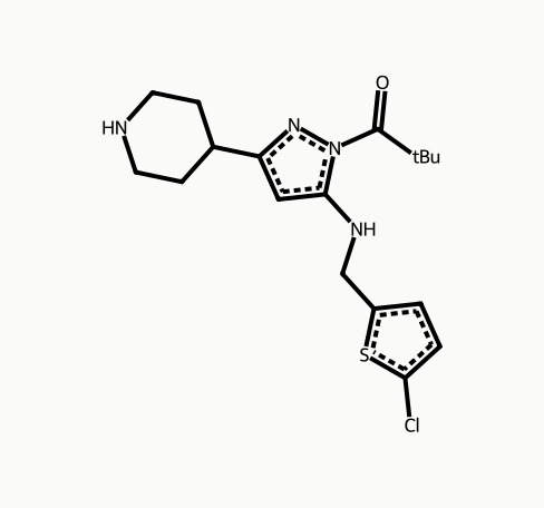 CC(C)(C)C(=O)n1nc(C2CCNCC2)cc1NCc1ccc(Cl)s1